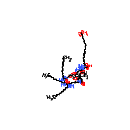 CCCCCCCCCCCCC(NC(=O)CCCCCN1C(=O)CC(C(C)C)C1=O)C(=O)NC(CCCCCCCCCCCC)C(=O)NC(CCCCCCCCCCCC)C(=O)NCCOCCOCCC(=O)NCC(NC(=O)CCCCCCCCCCCCCCCCC(=O)O)C(=O)O